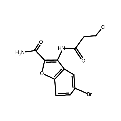 NC(=O)c1oc2ccc(Br)cc2c1NC(=O)CCCl